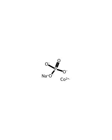 O=P([O-])([O-])[O-].[Co+2].[Na+]